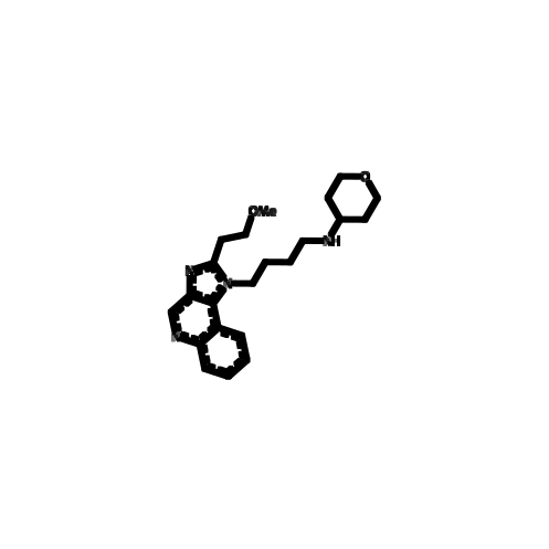 COCCc1nc2cnc3ccccc3c2n1CCCCNC1CCOCC1